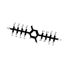 Cc1cc(C(F)(F)C(F)(F)C(F)(F)C(F)(F)F)c(C)cc1C(F)(F)C(F)(F)C(F)(F)C(F)(F)F